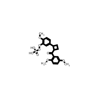 COc1ccc(OC)c(C(=O)C2CCC2c2ccc(OC)c(OOP(=O)(O)O)c2)c1